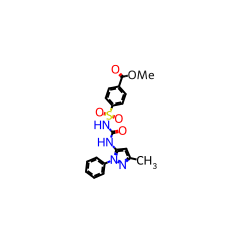 COC(=O)c1ccc(S(=O)(=O)NC(=O)Nc2cc(C)nn2-c2ccccc2)cc1